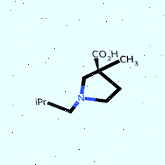 CC(C)CN1CC[C@](C)(C(=O)O)C1